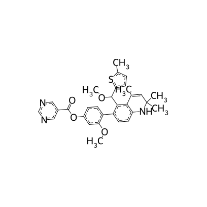 COc1cc(OC(=O)c2cncnc2)ccc1-c1ccc2c(c1C(OC)c1ccc(C)s1)C(C)=CC(C)(C)N2